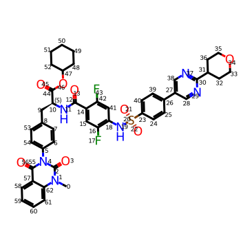 Cn1c(=O)n(-c2ccc(C[C@H](NC(=O)c3cc(F)c(NS(=O)(=O)c4ccc(-c5cnc(C6CCOCC6)nc5)cc4)cc3F)C(=O)OC3CCCCC3)cc2)c(=O)c2ccccc21